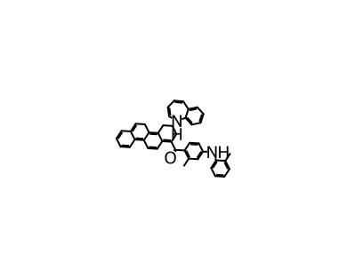 C1=CNc2ccccc2C=C1.Cc1ccccc1Nc1ccc(C(=O)C2=c3ccc4c(c3CCC2)CC=c2ccccc2=4)c(C)c1